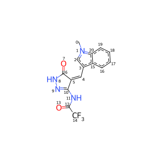 Cn1cc(/C=C2\C(=O)NN=C2NC(=O)C(F)(F)F)c2ccccc21